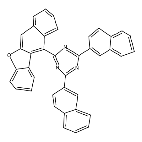 c1ccc2cc(-c3nc(-c4ccc5ccccc5c4)nc(-c4c5ccccc5cc5oc6ccccc6c45)n3)ccc2c1